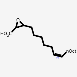 CCCCCCCC/C=C\CCCCCC1OC1C(=O)O